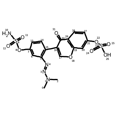 CN(C)N=Nc1cc(OS(N)(=O)=O)ccc1-c1coc2cc(OS(=O)(=O)O)ccc2c1=O